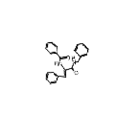 O=C(NCc1ccccc1)/C(=C/c1ccccc1)NC(=O)c1ccccc1